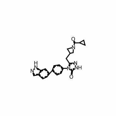 O=C(C1CC1)N1CC(Cc2n[nH]c(=O)n2-c2ccc(-c3ccc4cn[nH]c4c3)cc2)C1